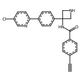 C#Cc1ccc(C(=O)NC2(c3ccc(-c4ccc(Cl)cn4)cc3)CNC2)cc1